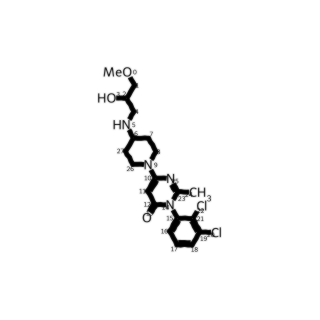 COCC(O)CNC1CCN(c2cc(=O)n(-c3cccc(Cl)c3Cl)c(C)n2)CC1